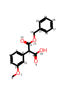 COc1cccc(C(C(=O)O)C(=O)OCc2ccccc2)c1